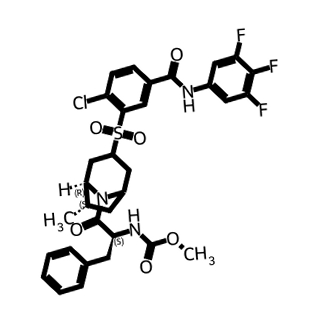 COC(=O)N[C@@H](Cc1ccccc1)C(=O)N1C2CC(S(=O)(=O)c3cc(C(=O)Nc4cc(F)c(F)c(F)c4)ccc3Cl)C[C@@H]1[C@@H](C)C2